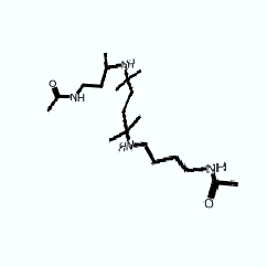 CC(=O)NCCCCNC(C)(C)CCC(C)(C)NC(C)CCNC(C)=O